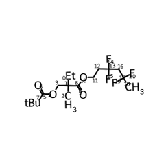 CCC(C)(COC(=O)C(C)(C)C)C(=O)OCCC(F)(F)CC(C)(F)F